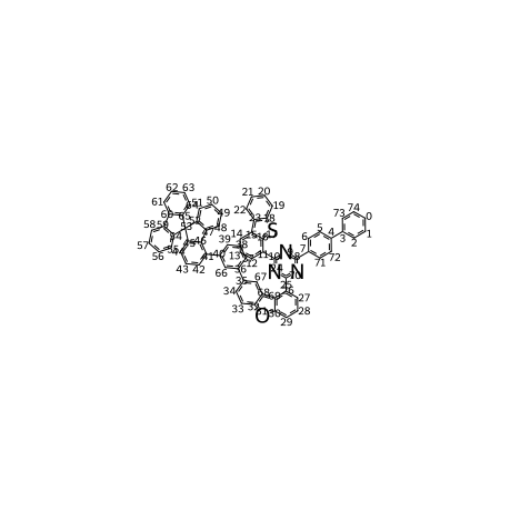 c1ccc(-c2ccc(-c3nc(-c4cccc5c4sc4ccccc45)nc(-c4cccc5oc6ccc(-c7cccc(-c8cccc9c8-c8ccccc8C98c9ccccc9-c9ccccc98)c7)cc6c45)n3)cc2)cc1